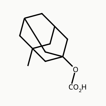 CC12CC3CC(C1)CC(OC(=O)O)(C3)C2